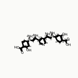 N/C(=C\N(N)c1ccc(C(=O)O)c(O)c1)c1cncc(/C(N)=C/N(N)c2ccc(C(=O)O)c(O)c2)c1